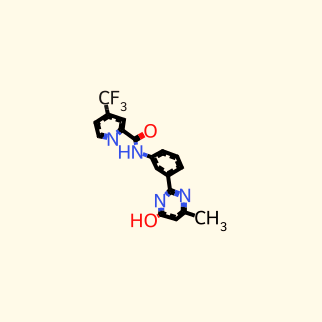 Cc1cc(O)nc(-c2cccc(NC(=O)c3cc(C(F)(F)F)ccn3)c2)n1